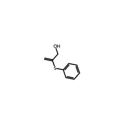 C=C(CO)Sc1ccccc1